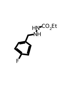 CCOC(=O)NNCc1ccc(F)cc1